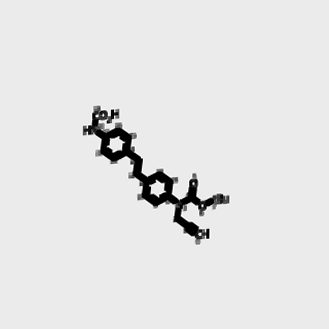 C#CCN(C(=O)OC(C)(C)C)c1ccc(/C=C/c2ccc(NC(=O)O)cc2)cc1